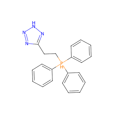 c1ccc([PH](CCc2nn[nH]n2)(c2ccccc2)c2ccccc2)cc1